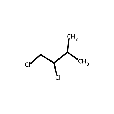 CC(C)C(Cl)CCl